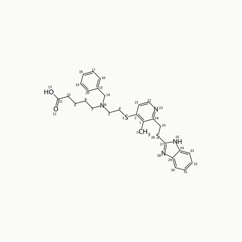 Cc1c(SCCN(CCCCC(=O)O)Cc2ccccc2)ccnc1CSc1nc2ccccc2[nH]1